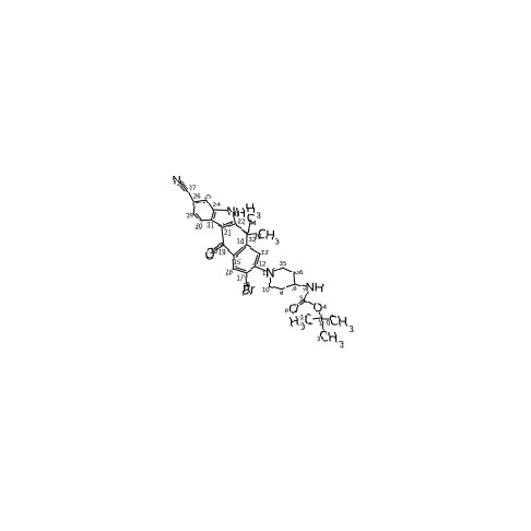 CC(C)(C)OC(=O)NC1CCN(c2cc3c(cc2Br)C(=O)c2c([nH]c4cc(C#N)ccc24)C3(C)C)CC1